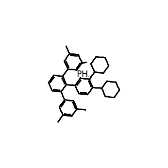 Cc1cc(C)cc(-c2cccc(-c3cc(C)cc(C)c3)c2-c2ccc(C3CCCCC3)c(C3CCCCC3)c2P)c1